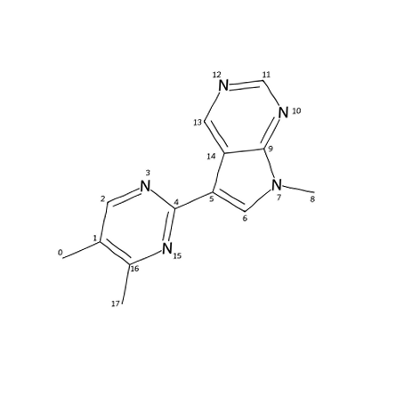 Cc1cnc(-c2cn(C)c3ncncc23)nc1C